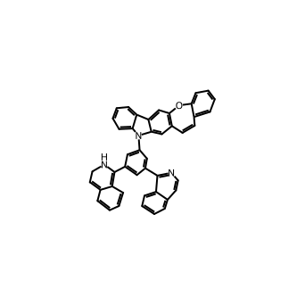 C1=Cc2cc3c(cc2Oc2ccccc21)c1ccccc1n3-c1cc(C2=c3ccccc3=CCN2)cc(-c2nccc3ccccc23)c1